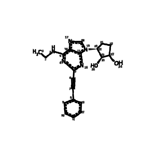 CCNc1nc(C#Cc2ccccc2)nc2c1ncn2[C@@H]1CCC(O)[C@H]1O